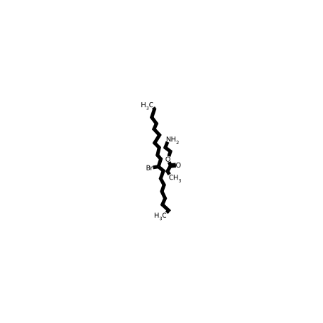 CCC(=O)OCCN.CCCCCCCCCCC(Br)CCCCCCCC